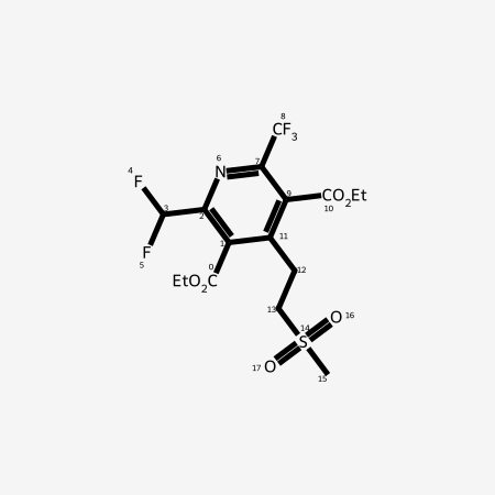 CCOC(=O)c1c(C(F)F)nc(C(F)(F)F)c(C(=O)OCC)c1CCS(C)(=O)=O